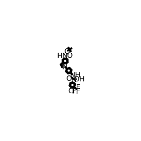 CC(C)(C)OC(=O)Nc1ccc2c(ccn2-c2ccc(NC(=O)N(O)c3ccc(Cl)c(C(F)(F)F)c3)cc2)c1